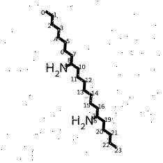 CCCCCCCCC(N)CCCCCCCC(N)CCCCC